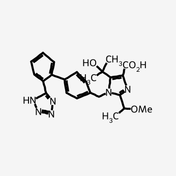 COC(C)c1nc(C(=O)O)c(C(C)(C)O)n1Cc1ccc(-c2ccccc2-c2nnn[nH]2)cc1